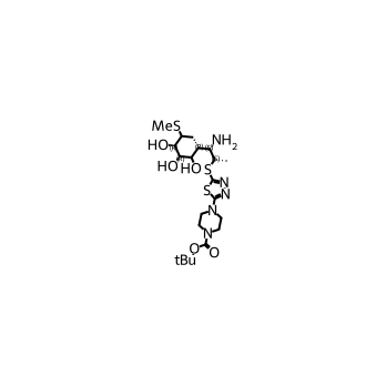 CSC1C[C@H]([C@H](N)[C@H](C)Sc2nnc(N3CCN(C(=O)OC(C)(C)C)CC3)s2)C(O)[C@@H](O)[C@H]1O